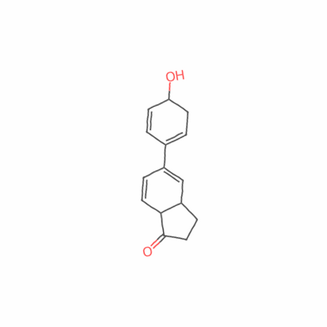 O=C1CCC2C=C(C3=CCC(O)C=C3)C=CC12